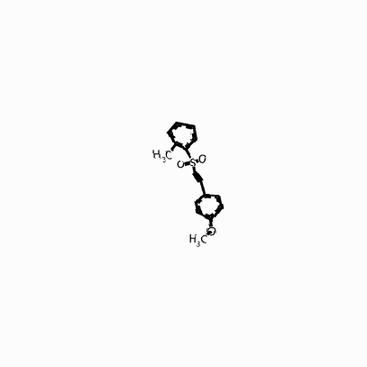 COc1ccc(C#CS(=O)(=O)c2ccccc2C)cc1